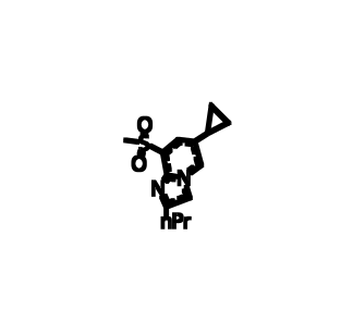 CCCc1cn2cc(C3CC3)cc(S(C)(=O)=O)c2n1